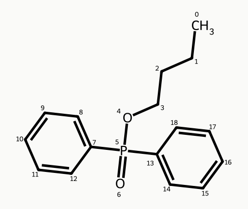 CCCCOP(=O)(c1ccccc1)c1ccccc1